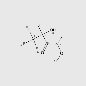 CON(C)C(=O)C(C)(O)C(F)(F)F